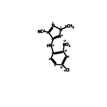 Cn1nc(C#N)c(Nc2ccc(Cl)cc2[N+](=O)[O-])n1